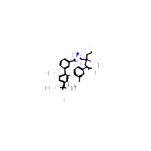 CCCc1cc(CC)ccc1-n1c(-c2cccc(-c3c(C)cc(C(C)(C)C)cc3C)c2)nnc1C(I)(CCC)CCC